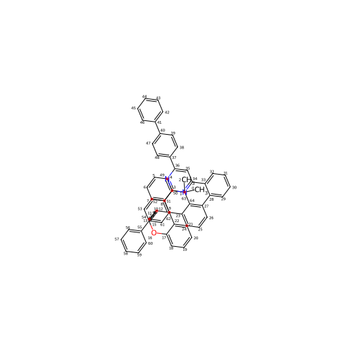 CC1(C)c2ccccc2C2(c3ccccc3Oc3ccccc32)c2cccc(-c3ccccc3-c3cc(-c4ccc(-c5ccccc5)cc4)nc(-c4ccc(-c5ccccc5)cc4)n3)c21